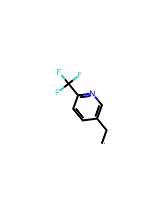 [CH2]Cc1ccc(C(F)(F)F)nc1